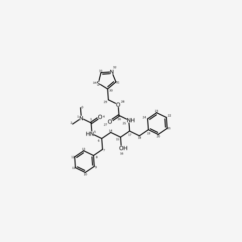 CN(C)C(=O)NC(Cc1ccccc1)CC(O)C(Cc1ccccc1)NC(=O)OCc1cncs1